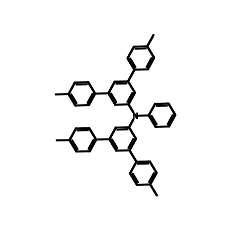 Cc1ccc(-c2cc(-c3ccc(C)cc3)cc(N(c3ccccc3)c3cc(-c4ccc(C)cc4)cc(-c4ccc(C)cc4)c3)c2)cc1